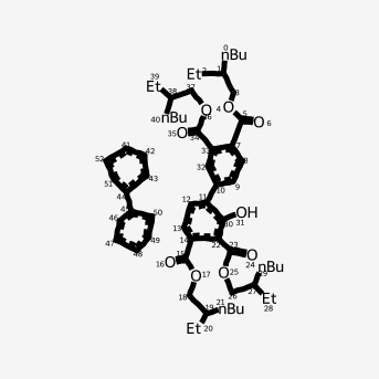 CCCCC(CC)COC(=O)c1ccc(-c2ccc(C(=O)OCC(CC)CCCC)c(C(=O)OCC(CC)CCCC)c2O)cc1C(=O)OCC(CC)CCCC.c1ccc(-c2ccccc2)cc1